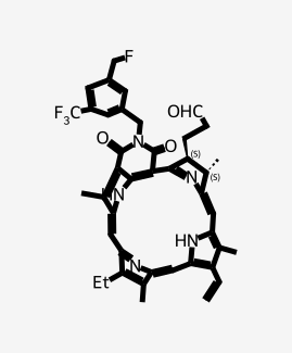 C=Cc1c(C)c2cc3nc(c4c5[nH]c(cc6nc(cc1[nH]2)C(C)=C6CC)c(C)c5C(=O)N(Cc1cc(CF)cc(C(F)(F)F)c1)C4=O)[C@@H](CCC=O)[C@@H]3C